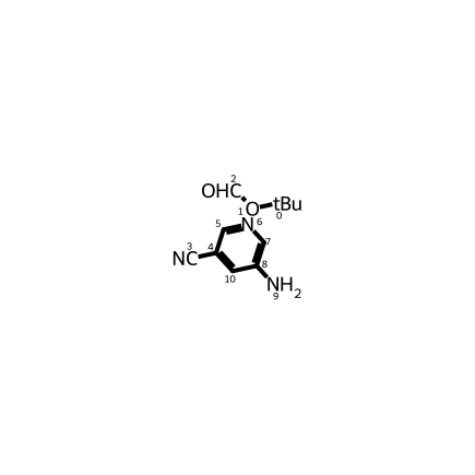 CC(C)(C)OC=O.N#Cc1cncc(N)c1